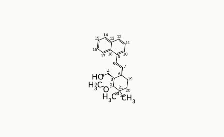 CO[C@@H]1[C@@H](CO)[C@@H](C=Cc2cccc3ccccc23)CCC1(C)C